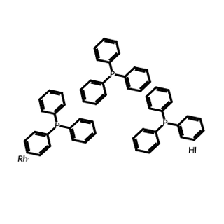 I.[Rh].c1ccc(P(c2ccccc2)c2ccccc2)cc1.c1ccc(P(c2ccccc2)c2ccccc2)cc1.c1ccc(P(c2ccccc2)c2ccccc2)cc1